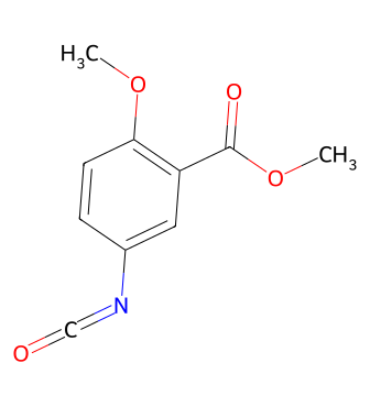 COC(=O)c1cc(N=C=O)ccc1OC